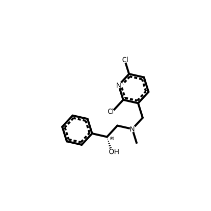 CN(Cc1ccc(Cl)nc1Cl)C[C@H](O)c1ccccc1